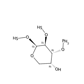 O[C@@H]1CO[C@@H](OS)[C@@H](OS)[C@@H]1OP